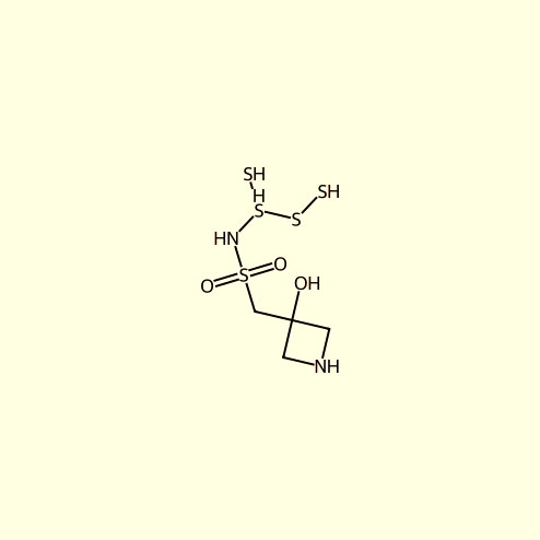 O=S(=O)(CC1(O)CNC1)N[SH](S)SS